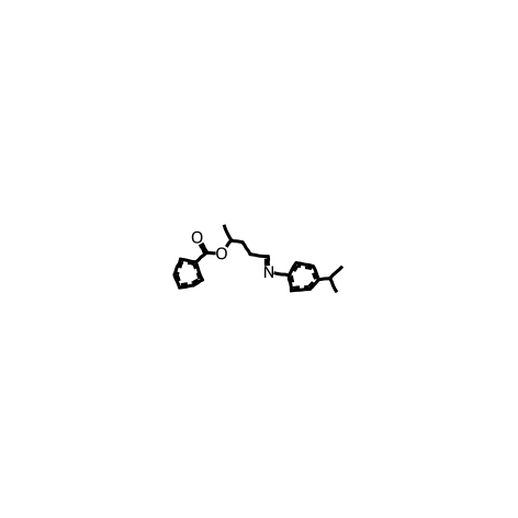 CC(CCC=Nc1ccc(C(C)C)cc1)OC(=O)c1ccccc1